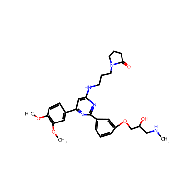 CNCC(O)COc1cccc(-c2nc(NCCCN3CCCC3=O)cc(-c3ccc(OC)c(OC)c3)n2)c1